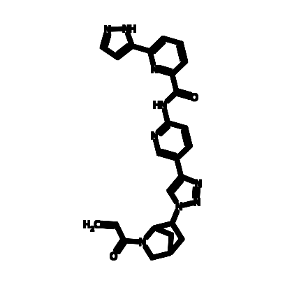 C=CC(=O)N1CC2CC1C(n1cc(-c3ccc(NC(=O)c4cccc(-c5ccn[nH]5)n4)nc3)nn1)C2